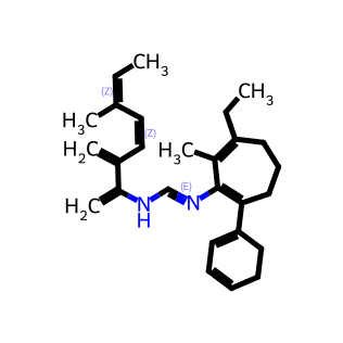 C=C(/C=C\C(C)=C/C)C(=C)N/C=N/C1=C(C2=CC=CCC2)CCCC(CC)=C1C